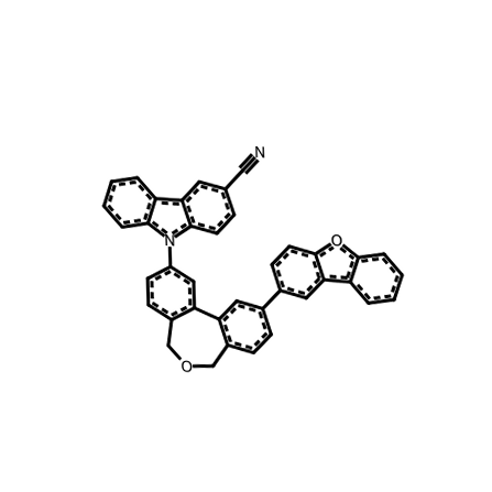 N#Cc1ccc2c(c1)c1ccccc1n2-c1ccc2c(c1)-c1cc(-c3ccc4oc5ccccc5c4c3)ccc1COC2